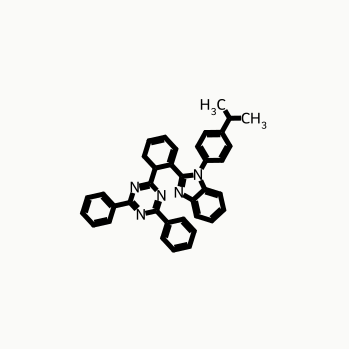 CC(C)c1ccc(-n2c(C3=CC=CCC3c3nc(-c4ccccc4)nc(-c4ccccc4)n3)nc3ccccc32)cc1